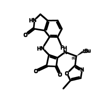 Cc1cnc([C@H](Nc2c(Nc3c(F)ccc4c3C(=O)NC4)c(=O)c2=O)C(C)(C)C)o1